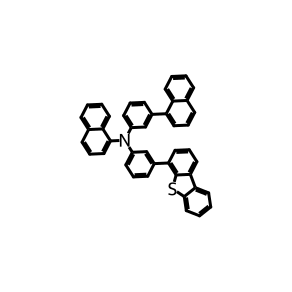 c1cc(-c2cccc3ccccc23)cc(N(c2cccc(-c3cccc4c3sc3ccccc34)c2)c2cccc3ccccc23)c1